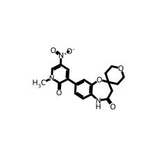 Cn1cc([N+](=O)[O-])cc(-c2ccc3c(c2)OC2(CCOCC2)CC(=O)N3)c1=O